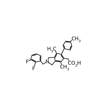 Cc1ccc(-c2c(C)c3c(c(C)c2CC(=O)O)CN(Cc2cccc(F)c2F)C3)cc1